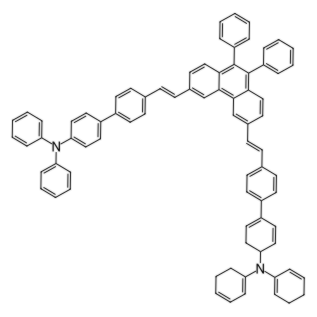 C1=CCCC(N(C2=CCCC=C2)C2C=CC(c3ccc(/C=C/c4ccc5c(-c6ccccc6)c(-c6ccccc6)c6ccc(/C=C/c7ccc(-c8ccc(N(c9ccccc9)c9ccccc9)cc8)cc7)cc6c5c4)cc3)=CC2)=C1